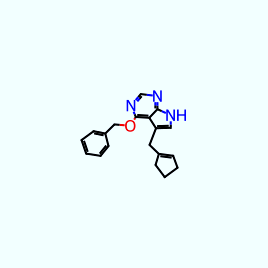 C1=C(Cc2c[nH]c3ncnc(OCc4ccccc4)c23)CCC1